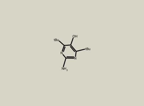 CC(C)(C)c1nc(N)nc(C(C)(C)C)c1O